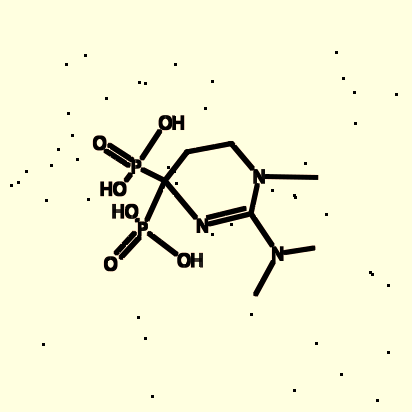 CN(C)C1=NC(P(=O)(O)O)(P(=O)(O)O)CCN1C